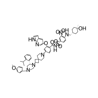 COc1ccc(CN2CCN(C3CC4(CCN(c5ccc(C(=O)NS(=O)(=O)c6ccc(NC[C@H]7CC[C@](C)(O)CC7)c([N+](=O)[O-])c6)c(Oc6cnc7[nH]ccc7c6)c5)CC4)C3)[C@@H](c3ccccc3C(C)C)C2)cc1